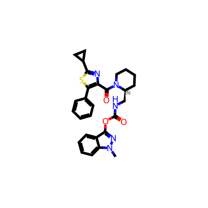 Cn1nc(OC(=O)NC[C@@H]2CCCCN2C(=O)c2nc(C3CC3)sc2-c2ccccc2)c2ccccc21